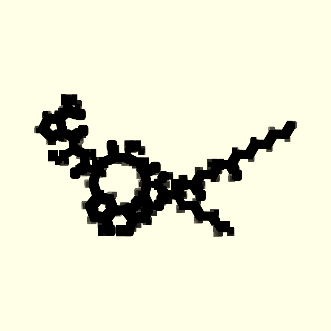 CCCCCCCC(=O)NCCC(=O)N[C@@H](CCCCN)C(=O)N(C)[C@@H]1C(=O)N[C@@H](N)C(=O)N[C@H](C(=O)N[C@@H](N)C(=O)N2CCC[C@H]2C(N)=O)Cc2ccc(O)c(c2)-c2cc1ccc2O